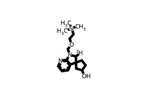 [2H]C1N(COCC[Si](C)(C)C)c2ncccc2C12CCC(O)C2